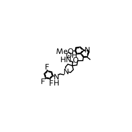 COc1ccc2ncc(C)c(CCCC3(C(=O)NO)CCN(CCNc4cc(F)cc(F)c4F)CC3)c2c1